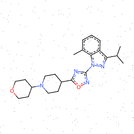 Cc1cccc2c(C(C)C)nn(-c3noc(C4CCN(C5CCOCC5)CC4)n3)c12